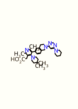 Cc1nc(C)c(-c2ccc3c(c2)CCN(c2cc(N4CCCCC4)ncn2)C3)c(N2CCC(C)(C)CC2)c1CC(=O)O